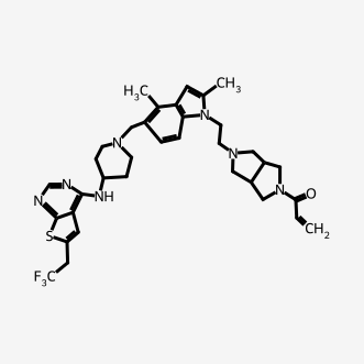 C=CC(=O)N1CC2CN(CCn3c(C)cc4c(C)c(CN5CCC(Nc6ncnc7sc(CC(F)(F)F)cc67)CC5)ccc43)CC2C1